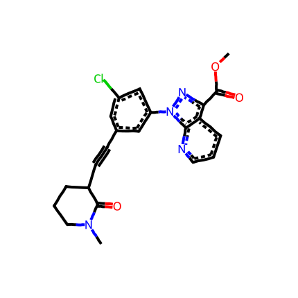 COC(=O)c1nn(-c2cc(Cl)cc(C#CC3CCCN(C)C3=O)c2)c2ncccc12